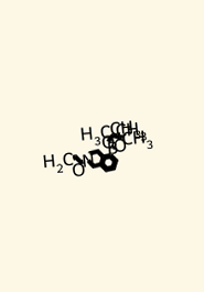 C=CC(=O)N1CCc2c(cccc2B2OC(C)(C)C(C)(C)O2)C1